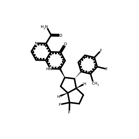 Cc1c([C@@H]2[C@@H]3CCC(F)(F)[C@@H]3C[C@H]2c2cc(=O)c3c(C(N)=O)nccc3[nH]2)ccc(F)c1F